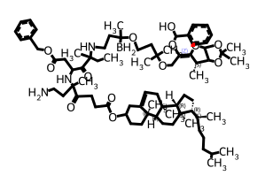 BC(C)(CCNC(C)(CC)C(=O)C(CC(=O)OCc1ccccc1)NC(C)(CCN)C(=O)CCC(=O)OC1CC[C@@]2(C)C(=CC[C@@]3(C)[C@@H]4CC[C@H]([C@@H](C)CCCC(C)C)[C@@]4(C)CC[C@@H]32)C1)OCCC(C)(C)OC/C(OC(O)c1ccccc1)=C1/OC2OC(C)(C)OC2[C@@H]1C